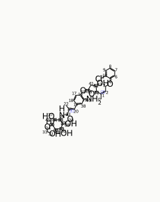 C/C(=C/COc1ccccc1Cl)[C@H]1O[C@@H](Oc2ccc(/C=C(\C)C(=O)N[C@@H]3[C@H](O)[C@@H](O)[C@H]4OCO[C@H]4[C@@H]3O)cc2N)C[C@@H]1O